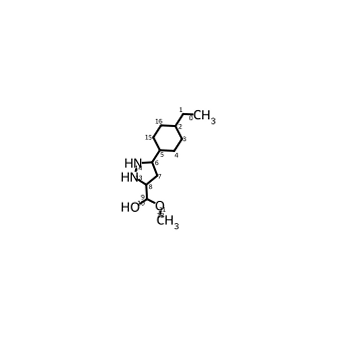 CCC1CCC(C2CC(C(O)OC)NN2)CC1